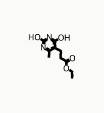 CCOC(=O)CCc1c(C)nc(O)nc1O